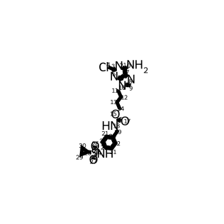 Nc1nc(Cl)nc2c1ncn2CCCCOC(=O)NCc1ccc(NS(=O)(=O)C2CC2)cc1